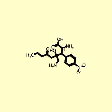 CCCC(=O)CC(O)(CN)C(c1ccc([N+](=O)[O-])cc1)[C@H](N)C(=O)O